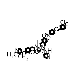 Cc1nccc(Oc2ccc(CC(NC(=O)[C@@H]3Cc4cc5c(cc4CN3C(=O)Nc3cccnc3)O[C@@H](c3ccc(OCc4ccc(Cl)c(Cl)c4)cc3)CO5)C(=O)O)cc2)c1C